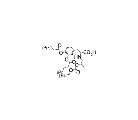 CC(C)CCC(=O)Oc1ccc(C[C@H](NCC(C)OC(=O)OCC(C)(C)C)C(=O)O)cc1OC(=O)CCC(C)C